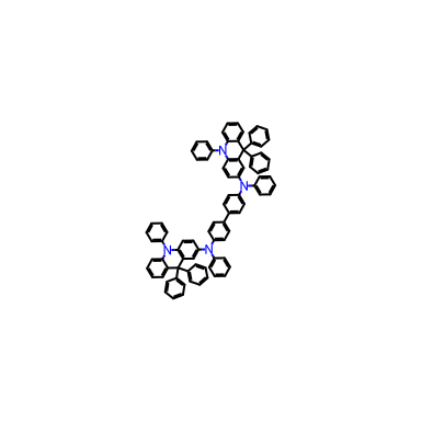 c1ccc(N(c2ccc(-c3ccc(N(c4ccccc4)c4ccc5c(c4)C(c4ccccc4)(c4ccccc4)c4ccccc4N5c4ccccc4)cc3)cc2)c2ccc3c(c2)C(c2ccccc2)(c2ccccc2)c2ccccc2N3c2ccccc2)cc1